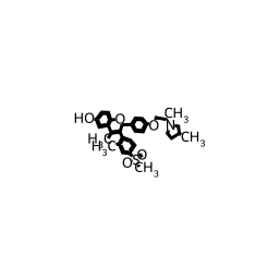 CC1=C(c2ccc(S(C)(=O)=O)cc2C)C(c2ccc(OCC(C)N3CCC(C)C3)cc2)Oc2ccc(O)cc21